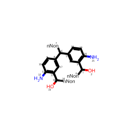 CCCCCCCCCC(O)c1cc(C(CCCCCCCCC)c2ccc(N)c(C(O)CCCCCCCCC)c2)ccc1N